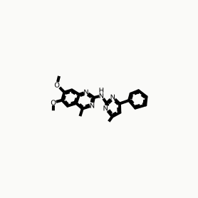 COc1cc2nc(Nc3nc(C)cc(-c4ccccc4)n3)nc(C)c2cc1OC